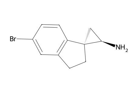 N[C@@H]1C[C@@]12CCc1cc(Br)ccc12